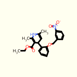 CCOC(=O)C1=C(C)NC(C)=CC1c1ccccc1OCc1cccc([N+](=O)[O-])c1